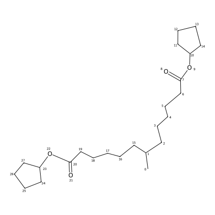 CC(CCCCCC(=O)OC1CCCC1)CCCCCC(=O)OC1CCCC1